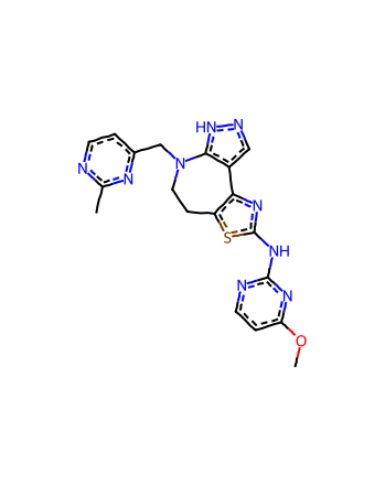 COc1ccnc(Nc2nc3c(s2)CCN(Cc2ccnc(C)n2)c2[nH]ncc2-3)n1